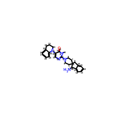 Cn1c(N2CCC3(CC2)Cc2ccccc2[C@H]3N)ncc(N2CCCc3ccccc32)c1=O